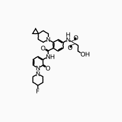 O=C(Nc1cccn(N2CCC(F)CC2)c1=O)c1ccc(NS(=O)(=O)CCO)cc1N1CCC2(CC1)CC2